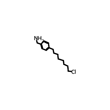 NCc1ccc(CCCCCCCCCl)cc1